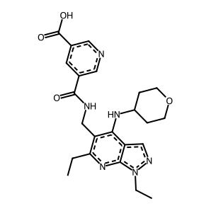 CCc1nc2c(cnn2CC)c(NC2CCOCC2)c1CNC(=O)c1cncc(C(=O)O)c1